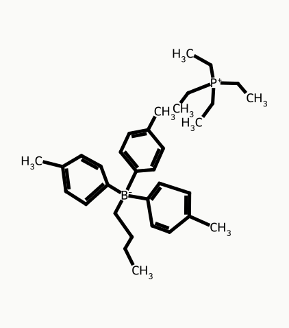 CCCC[B-](c1ccc(C)cc1)(c1ccc(C)cc1)c1ccc(C)cc1.CC[P+](CC)(CC)CC